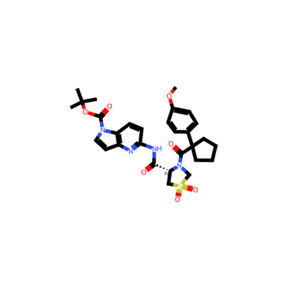 COc1ccc(C2(C(=O)N3CS(=O)(=O)C[C@@H]3C(=O)Nc3ccc4c(ccn4C(=O)OC(C)(C)C)n3)CCCC2)cc1